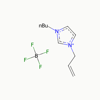 C=CC[n+]1ccn(CCCC)c1.F[B-](F)(F)F